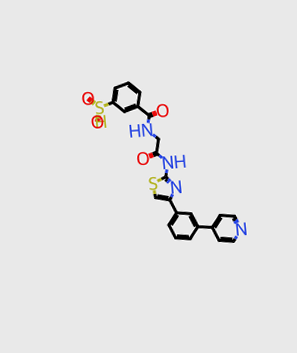 O=C(CNC(=O)c1cccc([SH](=O)=O)c1)Nc1nc(-c2cccc(-c3ccncc3)c2)cs1